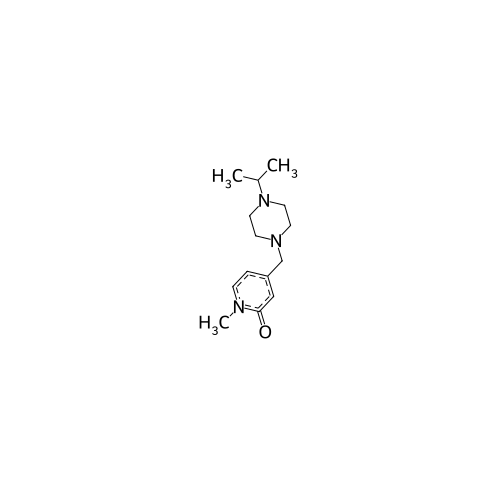 CC(C)N1CCN(Cc2ccn(C)c(=O)c2)CC1